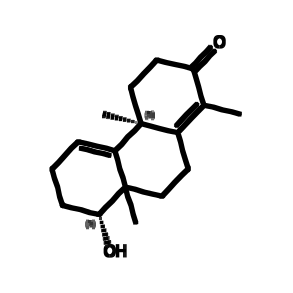 CC1=C2CCC3(C)C(=CCC[C@H]3O)[C@@]2(C)CCC1=O